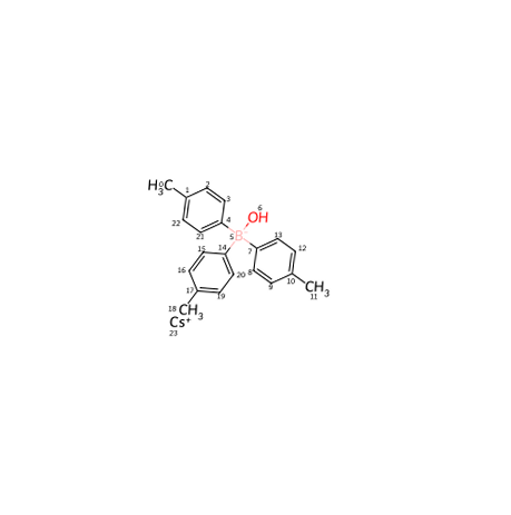 Cc1ccc([B-](O)(c2ccc(C)cc2)c2ccc(C)cc2)cc1.[Cs+]